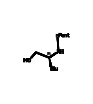 CCCCCN[C@H](CO)C(C)(C)C